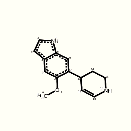 COc1cc2cc[nH]c2cc1C1C=CNCC1